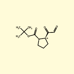 CC(C)(C)OC(=O)N1CCC[C@@H]1C(=O)C=O